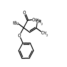 COC(=O)C(C=C(C)C)(Oc1ccccc1)C(C)(C)C